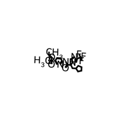 CCOP(C)(=O)c1ccc(NC(=O)C(CC2CCCC2)n2cnc(C(F)(F)F)c2)nc1